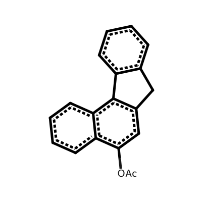 CC(=O)Oc1cc2c(c3ccccc13)-c1ccccc1C2